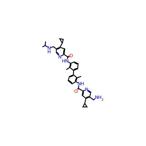 Cc1c(NC(=O)c2cc(C3CC3)c(CN)cn2)cccc1-c1cccc(NC(=O)c2cc(C3CC3)c(CNC(C)C)cn2)c1C